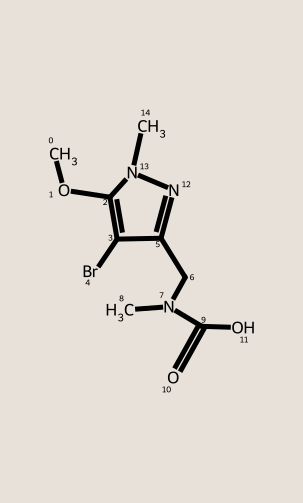 COc1c(Br)c(CN(C)C(=O)O)nn1C